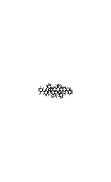 Cc1ccccc1-c1ccc(C)c(N(c2c(C)cccc2C)c2cc(C(C)C)c3ccc4c(N(c5cc(-c6ccccc6C)ccc5C)c5c(C)cccc5C)cc(C(C)C)c5ccc2c3c54)c1